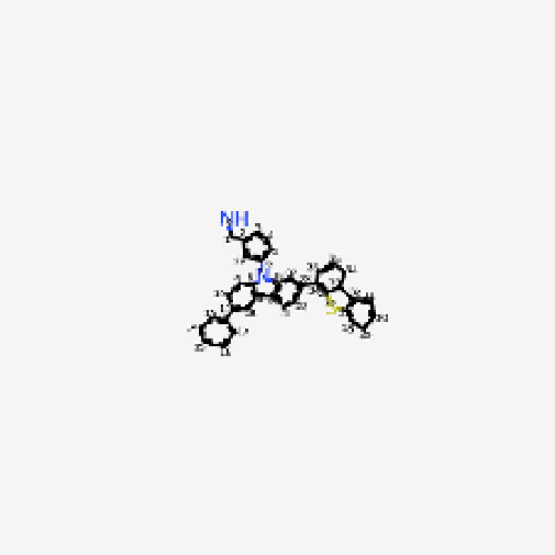 N=Cc1cccc(-n2c3ccc(-c4ccccc4)cc3c3ccc(C4=C5Sc6ccccc6C5CC=C4)cc32)c1